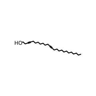 CCCCCCCCCCCCC#CCCCCCCCC#CCCO